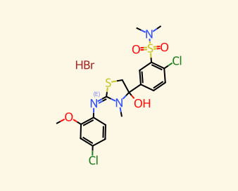 Br.COc1cc(Cl)ccc1/N=C1/SCC(O)(c2ccc(Cl)c(S(=O)(=O)N(C)C)c2)N1C